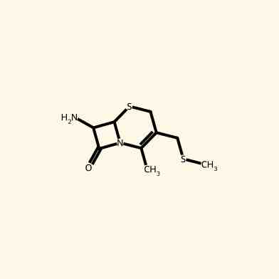 CSCC1=C(C)N2C(=O)C(N)C2SC1